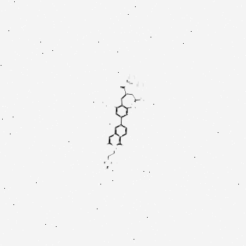 CCCN(CCC)C(=O)C1=Cc2c(C#N)cc(-c3ccc4c(=O)n(CCS(C)(=O)=O)c(C)cc4c3)cc2N=C(N)C1